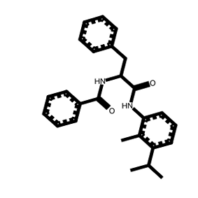 Cc1c(NC(=O)C(Cc2ccccc2)NC(=O)c2ccccc2)cccc1C(C)C